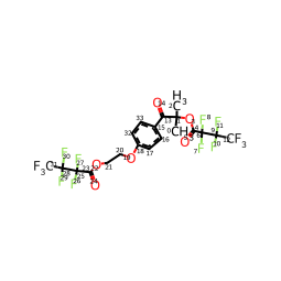 CC(C)(OC(=O)C(F)(F)C(F)(F)C(F)(F)F)C(=O)c1ccc(OCCOC(=O)C(F)(F)C(F)(F)C(F)(F)F)cc1